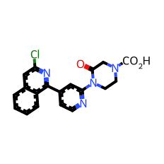 O=C(O)N1CCN(c2cc(-c3nc(Cl)cc4ccccc34)ccn2)C(=O)C1